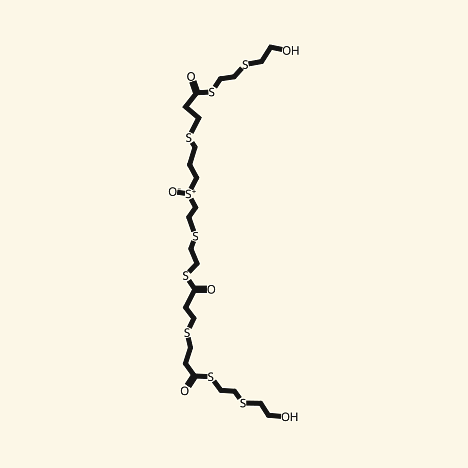 O=C(CCSCCC[S+]([O-])CCSCCSC(=O)CCSCCC(=O)SCCSCCO)SCCSCCO